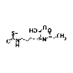 CCC(=O)NC(CCCCNC(=O)S)C(=O)O